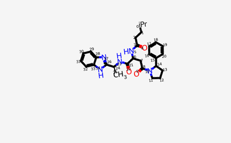 CC(C)CCC(=O)NC(CC(=O)N1CCCC1c1ccccc1)C(=O)N[C@@H](C)c1nc2ccccc2[nH]1